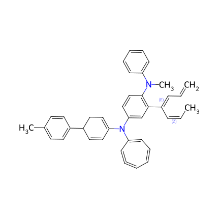 C=C/C=C(\C=C/C)c1cc(N(C2=CC=CC=C=C2)C2=CCC(c3ccc(C)cc3)C=C2)ccc1N(C)c1ccccc1